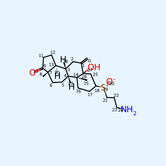 C=C1C[C@@H]2[C@@H](CC[C@]3(C)C(=O)CC[C@@H]23)[C@@]2(C)CCC([S+]([O-])CCCN)CC12O